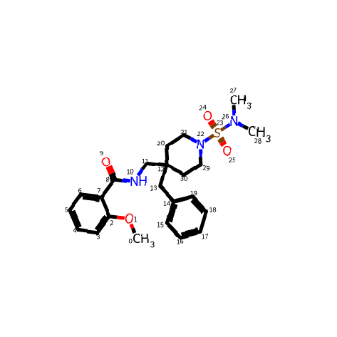 COc1ccccc1C(=O)NCC1(Cc2ccccc2)CCN(S(=O)(=O)N(C)C)CC1